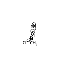 COc1cc(Cl)ccc1-c1cc(COC(=O)Nc2ccc3c(c2)nc2n3CCCC2)sn1